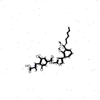 CCCCCC[C@H](OC)c1cccc(-c2csc(NC(=O)c3cc(Cl)c(/C=C(\C)C(=O)O)c(Cl)c3)n2)c1OC